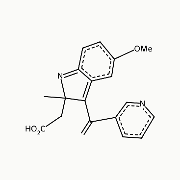 C=C(C1=c2cc(OC)ccc2=NC1(C)CC(=O)O)c1cccnc1